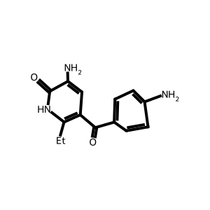 CCc1[nH]c(=O)c(N)cc1C(=O)c1ccc(N)cc1